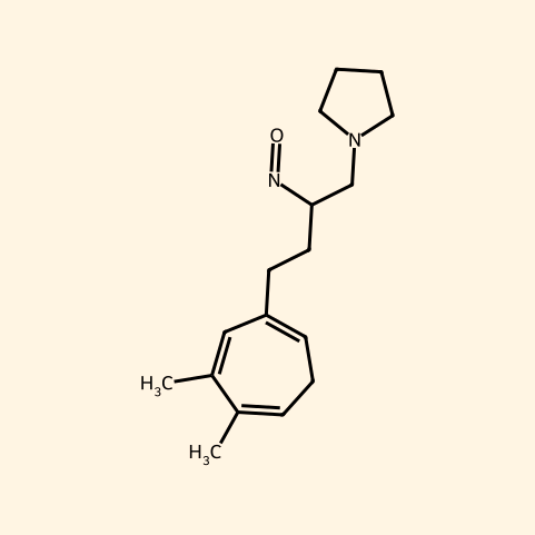 CC1=CCC=C(CCC(CN2CCCC2)N=O)C=C1C